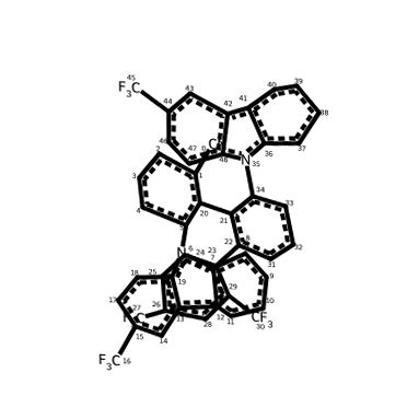 N#Cc1cccc(-n2c3ccccc3c3cc(C(F)(F)F)ccc32)c1-c1c(-c2ccc(C(F)(F)F)cc2C(F)(F)F)cccc1-n1c2ccccc2c2cc(C(F)(F)F)ccc21